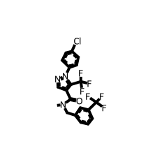 CN(Cc1cccc(C(F)(F)F)c1)C(=O)c1cnn(-c2ccc(Cl)cc2)c1C(F)(F)F